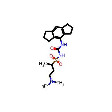 CCCN(C)CCC(C)S(=O)(=O)NC(=O)Nc1c2c(cc3c1CCC3)CCC2